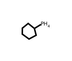 [PH4]C1CCCCC1